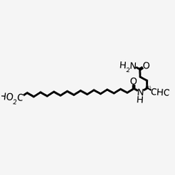 NC(=O)CC[C@@H](C=O)NC(=O)CCCCCCCCCCCCCCCCC(=O)O